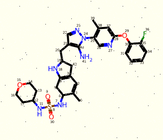 CC1=CC2=C(CC1NS(=O)(=O)NC1CCOCC1)NC(Cc1cnn(-c3cnc(Oc4ccccc4F)cc3C)c1N)C2